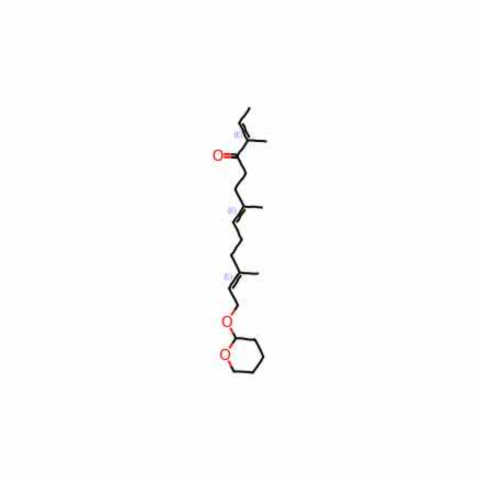 C/C=C(\C)C(=O)CC/C(C)=C/CC/C(C)=C/COC1CCCCO1